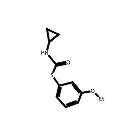 CCOc1cccc(SC(=O)NC2CC2)c1